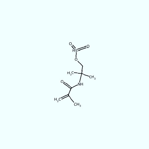 C=C(C)C(=O)NC(C)(C)CO[SH](=O)=O